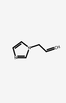 [CH]=CCn1ccnc1